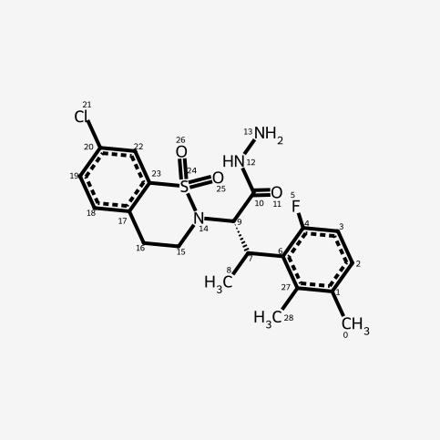 Cc1ccc(F)c(C(C)[C@@H](C(=O)NN)N2CCc3ccc(Cl)cc3S2(=O)=O)c1C